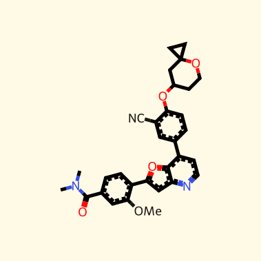 COc1cc(C(=O)N(C)C)ccc1-c1cc2nccc(-c3ccc(OC4CCOC5(CC5)C4)c(C#N)c3)c2o1